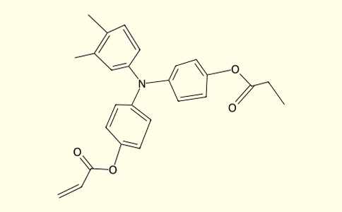 C=CC(=O)Oc1ccc(N(c2ccc(OC(=O)CC)cc2)c2ccc(C)c(C)c2)cc1